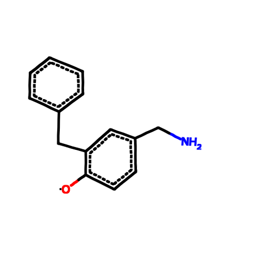 NCc1ccc([O])c(Cc2ccccc2)c1